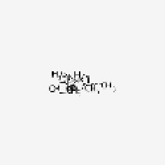 CCCC1CC[C@H]2[C@@H]3CN(C)C4=CC(=O)CC[C@]4(C)[C@@H]3CC[C@]12C